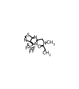 C=CC(=O)N(C)Cc1nc(S(F)(F)(F)(F)F)c2ncsc2n1